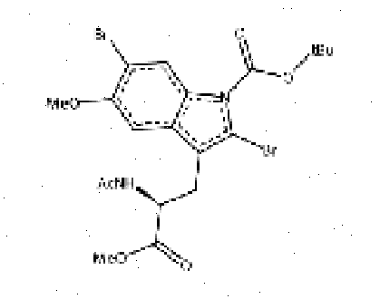 COC(=O)[C@H](Cc1c(Br)n(C(=O)OC(C)(C)C)c2cc(Br)c(OC)cc12)NC(C)=O